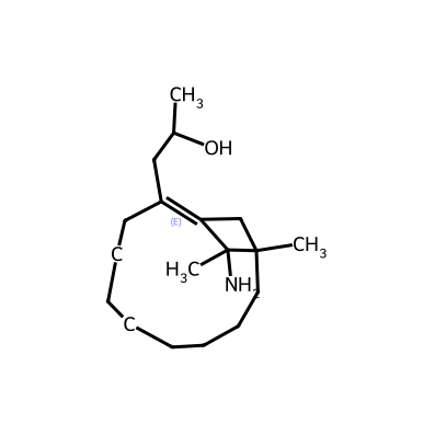 CC(O)C/C1=C2\CC(C)(CCCCCCCC1)C2(C)N